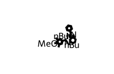 CCCCN(Cc1cc(C)c(OC)c(C)c1)C1CCCc2nc(-c3ccccc3)n(CCCC)c21